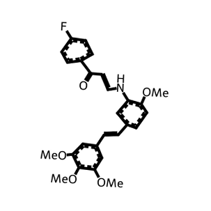 COc1ccc(C=Cc2cc(OC)c(OC)c(OC)c2)cc1NC=CC(=O)c1ccc(F)cc1